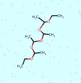 CCOC(C)OC(C)OC(C)OC(C)OCC